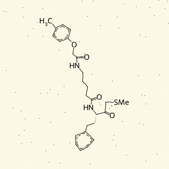 CSCC(=O)[C@H](CCc1ccccc1)NC(=O)CCCCNC(=O)COc1ccc(C)cc1